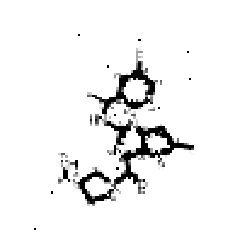 Cc1cc2nc(N[C@@H](C)c3cncc(F)c3)nc(C(=O)N3CC[C@H](CO)C3)c2s1